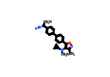 CCOC(=O)C(=[N+]=[N-])c1ccc(-c2ccc(-c3onc(C)c3N(C(=O)OCC)C3CC3)cc2)cc1